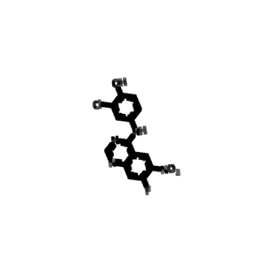 O=[N+]([O-])c1cc2c(Nc3ccc(O)c(Cl)c3)ncnc2cc1F